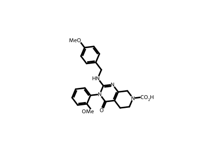 COc1ccc(CNc2nc3c(c(=O)n2-c2ccccc2OC)CCN(C(=O)O)C3)cc1